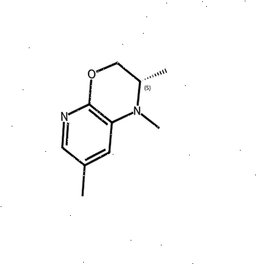 Cc1cnc2c(c1)N(C)[C@@H](C)CO2